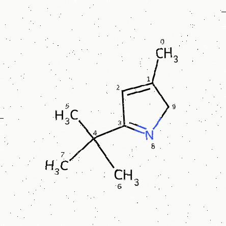 CC1=CC(C(C)(C)C)=NC1